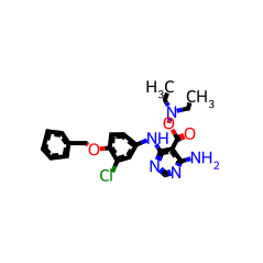 CCN(CC)OC(=O)c1c(N)ncnc1Nc1ccc(OCc2ccccc2)c(Cl)c1